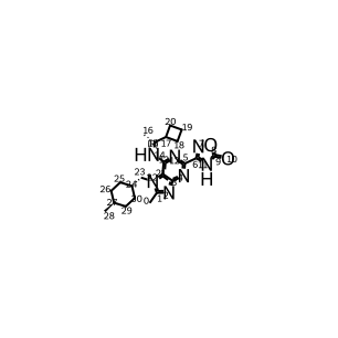 Cc1nc2nc(-c3noc(=O)[nH]3)nc(N[C@H](C)C3CCC3)c2n1C[C@H]1CC[C@H](C)CC1